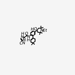 CCN1C(C)(C)CC(O)(c2ccc(NC(=O)c3nc(C#N)c[nH]3)c(C3=CCC(C)(C)CC3)c2)CC1(C)C